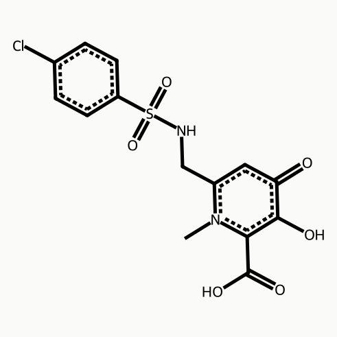 Cn1c(CNS(=O)(=O)c2ccc(Cl)cc2)cc(=O)c(O)c1C(=O)O